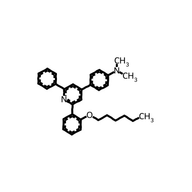 CCCCCCOc1ccccc1-c1cc(-c2ccc(N(C)C)cc2)cc(-c2ccccc2)n1